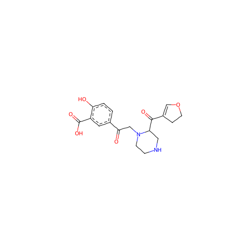 O=C(CN1CCNCC1C(=O)C1=COCC1)c1ccc(O)c(C(=O)O)c1